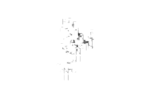 CC(C)C[C@@H](NC(=O)C(F)(F)F)C(=O)N1[C@@H]2CC[C@H]([C@@H]1C(=O)N[C@@H](C#N)C[C@@H]1CCCNC1=O)C(F)(F)C2